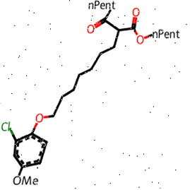 CCCCCOC(=O)C(CCCCCCCOc1ccc(OC)cc1Cl)C(=O)CCCCC